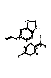 C=CCc1ccc2c(c1)OCO2.CC1=CCC(=C(C)C)CC1